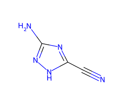 N#Cc1nc(N)n[nH]1